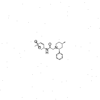 CC(/C=C\S(C)(=O)=O)NC(=O)CN1CC[C@@H](C)C[C@H]1c1ccccc1